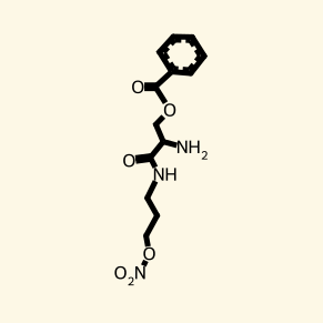 NC(COC(=O)c1ccccc1)C(=O)NCCCO[N+](=O)[O-]